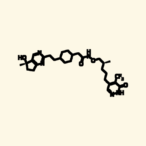 C[C@H](CCCc1cn[nH]c(=O)c1C(F)(F)F)CONC(=O)CC1CCC(CCc2ncc3c(n2)CC[C@@]3(C)O)CC1